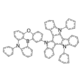 c1ccc(N2c3ccccc3B3c4cc(-n5c6ccccc6c6c7c(c8ccccc8n7-c7ccccc7)c7c(c8ccccc8n7-c7ccccc7)c65)ccc4Oc4cccc2c43)cc1